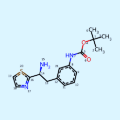 CC(C)(C)OC(=O)Nc1cccc(C[C@H](N)c2nccs2)c1